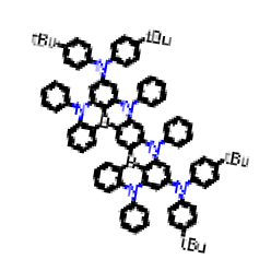 CC(C)(C)c1ccc(N(c2ccc(C(C)(C)C)cc2)c2cc3c4c(c2)N(c2ccccc2)c2cc5c(cc2B4c2ccccc2N3c2ccccc2)B2c3ccccc3N(c3ccccc3)c3cc(N(c4ccc(C(C)(C)C)cc4)c4ccc(C(C)(C)C)cc4)cc(c32)N5c2ccccc2)cc1